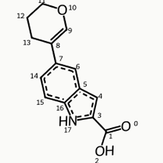 O=C(O)c1cc2cc(C3=COCCC3)ccc2[nH]1